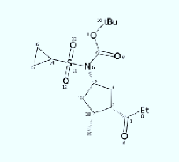 CCC(=O)[C@H]1C[C@@H](N(C(=O)OC(C)(C)C)S(=O)(=O)C2CC2)C[C@H]1C